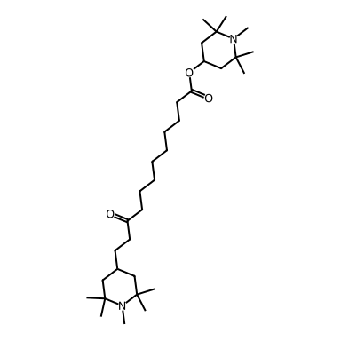 CN1C(C)(C)CC(CCC(=O)CCCCCCCCC(=O)OC2CC(C)(C)N(C)C(C)(C)C2)CC1(C)C